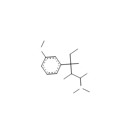 CCC(O)(c1cccc(OC)c1)C(C)[CH]([PbH])N(C)C